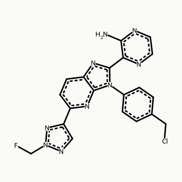 Nc1nccnc1-c1nc2ccc(-c3cnn(CF)n3)nc2n1-c1ccc(CCl)cc1